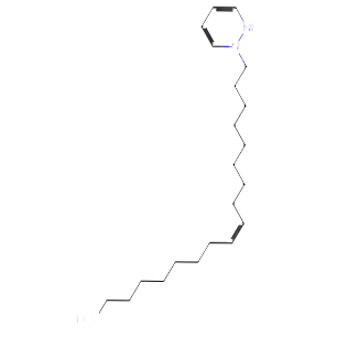 CCCCCCCC/C=C\CCCCCCCCN1C=CC=CN1